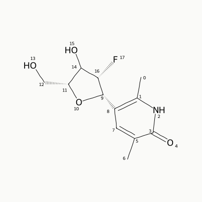 Cc1[nH]c(=O)c(C)cc1[C@@H]1O[C@H](CO)C(O)[C@@H]1F